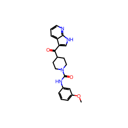 COc1cccc(NC(=O)N2CCC(C(=O)c3c[nH]c4ncccc34)CC2)c1